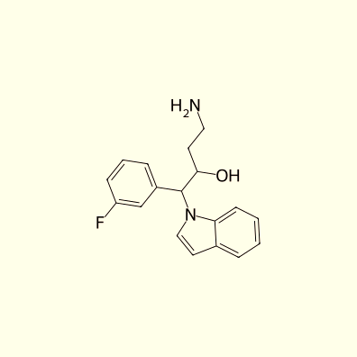 NCCC(O)C(c1cccc(F)c1)n1ccc2ccccc21